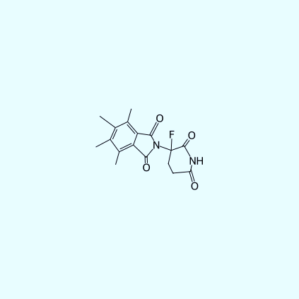 Cc1c(C)c(C)c2c(c1C)C(=O)N(C1(F)CCC(=O)NC1=O)C2=O